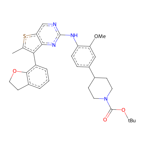 COc1cc(C2CCN(C(=O)OC(C)(C)C)CC2)ccc1Nc1ncc2sc(C)c(-c3cccc4c3OCC4)c2n1